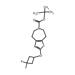 CC(C)(C)OC(=O)N1CCc2nc(OC3CC(F)(F)C3)sc2CC1